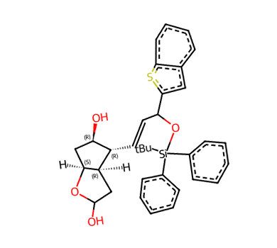 CC(C)(C)[Si](OC(C=C[C@@H]1[C@H]2CC(O)O[C@H]2C[C@H]1O)c1cc2ccccc2s1)(c1ccccc1)c1ccccc1